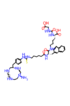 NN1CCNCCNCC(Cc2ccc(NC(=S)NCCCCCC(=O)N[C@@H](Cc3ccc4ccccc4c3)C(=O)NCCCC[C@H](NC(=O)NCC(=O)O)C(=O)O)cc2)NCC1